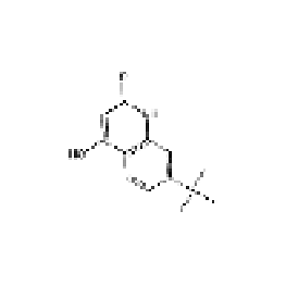 CC(C)(C)c1ccc2c(O)cc(=O)[nH]c2c1